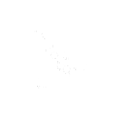 COC(C=O)CCCCCn1c(=O)c(N2CCS(=O)(=O)CC2)cc2c(N[C@H](C)c3cccc(C(F)(F)C4CCN(C(=O)OC(C)(C)C)CC4)c3)ncnc21